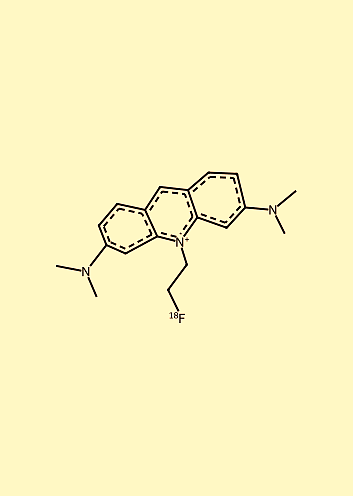 CN(C)c1ccc2cc3ccc(N(C)C)cc3[n+](CC[18F])c2c1